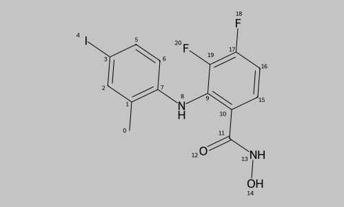 Cc1cc(I)ccc1Nc1c(C(=O)NO)ccc(F)c1F